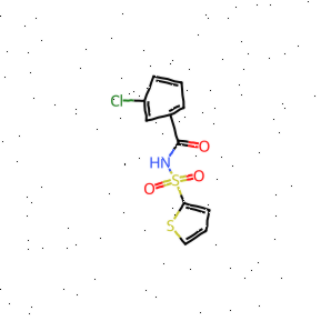 O=C(NS(=O)(=O)c1cccs1)c1cccc(Cl)c1